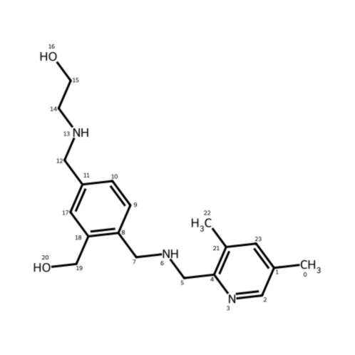 Cc1cnc(CNCc2ccc(CNCCO)cc2CO)c(C)c1